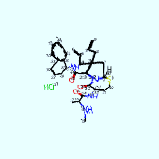 C=CCC1(CC=C)C[C@@H]2SCC[C@H](NC(=O)C(C)NC)C(=O)N2C1C(=O)N[C@@H]1CCCc2ccccc21.Cl